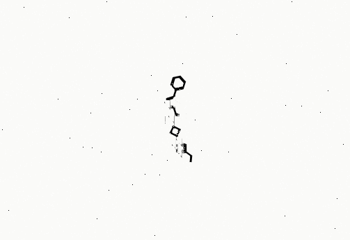 CCc1cn(C2CC(NC(=O)c3ncc(-c4ccccc4)s3)C2)nn1